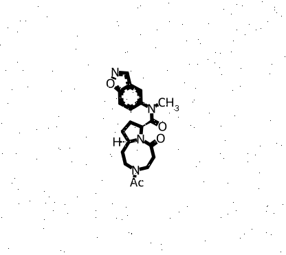 CC(=O)N1CCC(=O)N2[C@H](CC[C@H]2C(=O)N(C)c2ccc3oncc3c2)CC1